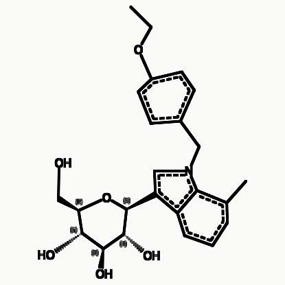 CCOc1ccc(Cn2cc([C@@H]3O[C@H](CO)[C@@H](O)[C@H](O)[C@H]3O)c3cccc(C)c32)cc1